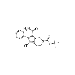 CC(C)(C)OC(=O)N1CCn2c(Cl)c(-c3ccccc3)c(C(N)=O)c2C1